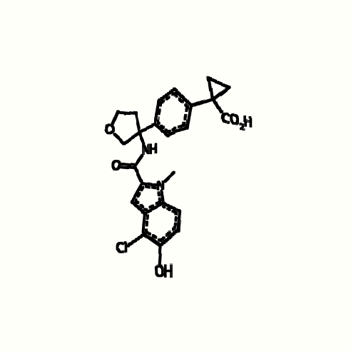 Cn1c(C(=O)NC2(c3ccc(C4(C(=O)O)CC4)cc3)CCOC2)cc2c(Cl)c(O)ccc21